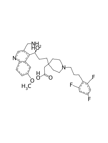 COc1ccc2ncc(CN)c([C@@H](O)CCC3(CC(=O)O)CCN(CCCc4c(F)cc(F)cc4F)CC3)c2c1